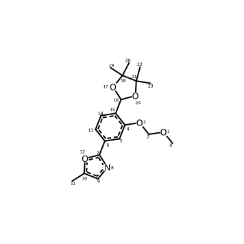 COCOc1cc(-c2ncc(C)o2)ccc1C1OC(C)(C)C(C)(C)O1